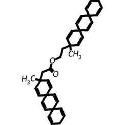 CC1(CCOC(=O)CC2(C)C=CC3(C=CC4(C=CCC=C4)C=C3)C=C2)C=CC2(C=CC3(C=CCC=C3)C=C2)C=C1